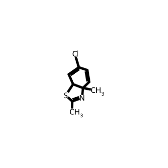 CC1=NC2(C)C=CC(Cl)=CC2S1